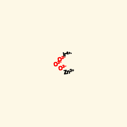 [Ir+4].[O-2].[O-2].[O-2].[Zn+2]